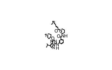 CC(C)c1cnn2c(Nc3cccc(C(=O)NC4CCCN(C(=O)C=CCN(C)C)C4)c3)nc(OC3CCN(C)CC3)nc12